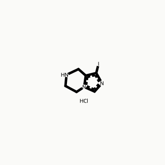 Cl.Ic1ncn2c1CNCC2